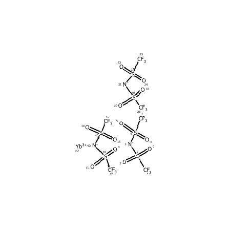 O=S(=O)([N-]S(=O)(=O)C(F)(F)F)C(F)(F)F.O=S(=O)([N-]S(=O)(=O)C(F)(F)F)C(F)(F)F.O=S(=O)([N-]S(=O)(=O)C(F)(F)F)C(F)(F)F.[Yb+3]